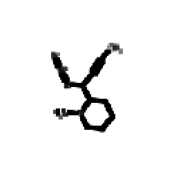 CC#CC(N=[N+]=[N-])C1CCCCN1C